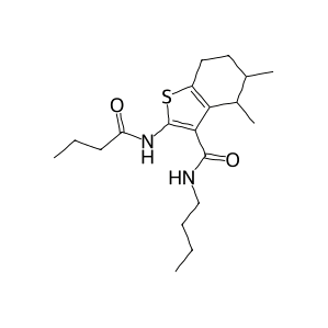 CCCCNC(=O)c1c(NC(=O)CCC)sc2c1C(C)C(C)CC2